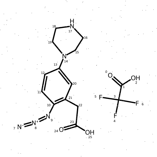 O=C(O)C(F)(F)F.[N-]=[N+]=Nc1ccc(N2CCNCC2)cc1CC(=O)O